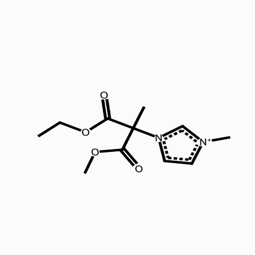 CCOC(=O)C(C)(C(=O)OC)n1cc[n+](C)c1